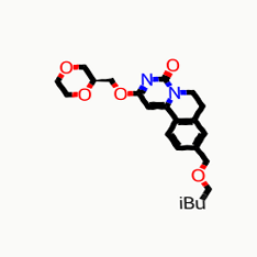 CCC(C)COCc1ccc2c(c1)CCn1c-2cc(OC[C@@H]2COCCO2)nc1=O